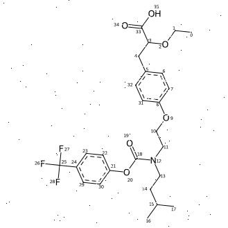 CCOC(Cc1ccc(OCCN(CCC(C)C)C(=O)Oc2ccc(C(F)(F)F)cc2)cc1)C(=O)O